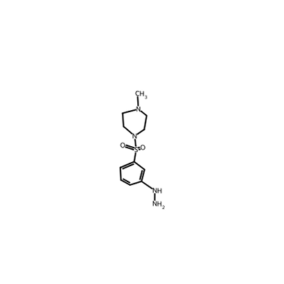 CN1CCN(S(=O)(=O)c2cccc(NN)c2)CC1